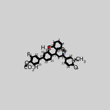 Cc1ccccc1C(C/C(=N\O)c1ccc(=O)n(C)c1)c1ccc(-c2ccc(OC(=O)O)c(F)c2)cc1F